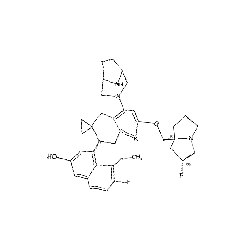 CCc1c(F)ccc2cc(O)cc(N3Cc4nc(OC[C@@]56CCCN5C[C@H](F)C6)cc(N5CC6CCC(C5)N6)c4CC34CC4)c12